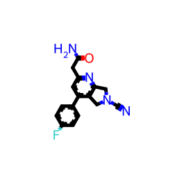 N#CN1Cc2nc(CC(N)=O)cc(-c3ccc(F)cc3)c2C1